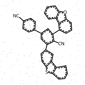 N#Cc1ccc(-c2cc(-c3ccc4sc5ccccc5c4c3)c(C#N)c(-c3cccc4oc5ccccc5c34)c2)cc1